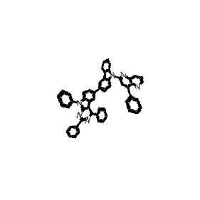 c1ccc(-c2nc(-c3ccccc3)c3c4cc(-c5ccc6c(c5)c5ccccc5n6-c5cc(-c6ccccc6)c6ncccc6n5)ccc4n(-c4ccccc4)c3n2)cc1